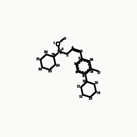 CON(C/C=C\c1ccc(C2CCCCC2)c(C)c1)C1CCCCC1